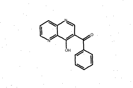 O=C(c1ccccc1)c1cnc2cccnc2c1O